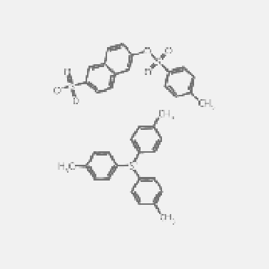 Cc1ccc(S(=O)(=O)Oc2ccc3cc(S(=O)(=O)[O-])ccc3c2)cc1.Cc1ccc([S+](c2ccc(C)cc2)c2ccc(C)cc2)cc1